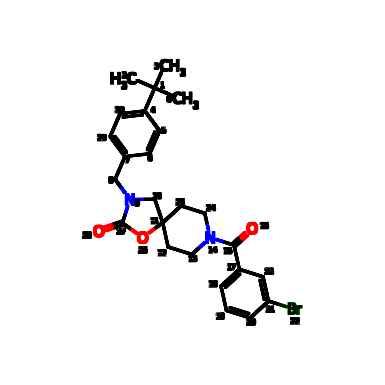 CC(C)(C)c1ccc(CN2CC3(CCN(C(=O)c4cccc(Br)c4)CC3)OC2=O)cc1